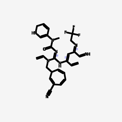 C=C/C(=C\C(C=N)=N/CC(F)(F)F)N/C(=N/C(=O)N(C)C1=CNCC=C1)N(C=C)CC1C=CC=CC(C#N)=C1